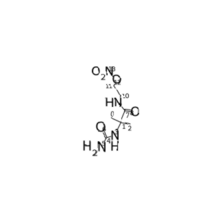 CC(C)(NC(N)=O)C(=O)NCCO[N+](=O)[O-]